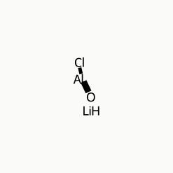 [LiH].[O]=[Al][Cl]